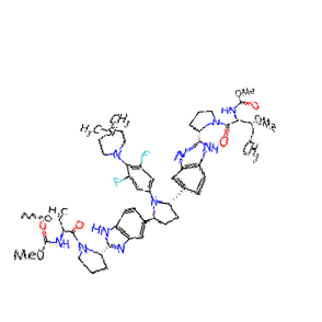 COC(=O)N[C@H](C(=O)N1CCC[C@H]1c1nc2cc([C@@H]3CC[C@@H](c4ccc5[nH]c([C@@H]6CCCN6C(=O)[C@@H](NC(=O)OC)[C@@H](C)OC)nc5c4)N3c3cc(F)c(N4CC[Si](C)(C)CC4)c(F)c3)ccc2[nH]1)[C@@H](C)OC